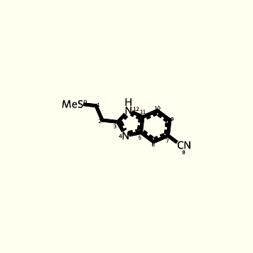 CSCCc1nc2cc(C#N)ccc2[nH]1